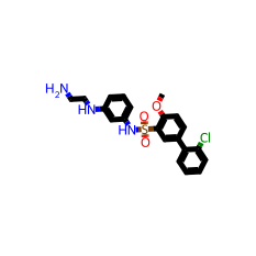 COc1ccc(-c2ccccc2Cl)cc1S(=O)(=O)Nc1cccc(NCCN)c1